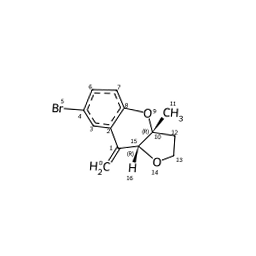 C=C1c2cc(Br)ccc2O[C@]2(C)CCO[C@H]12